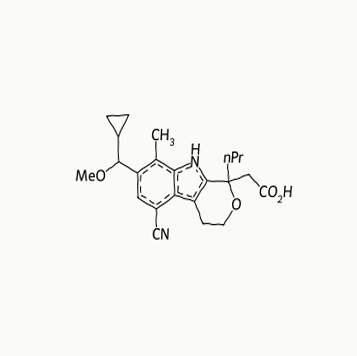 CCCC1(CC(=O)O)OCCc2c1[nH]c1c(C)c(C(OC)C3CC3)cc(C#N)c21